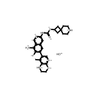 Cc1c(-c2cc3cc(NC(=O)OC4CC5(CCNCC5)C4)ncc3c(N)c2F)cnc2c1NCCO2.Cl